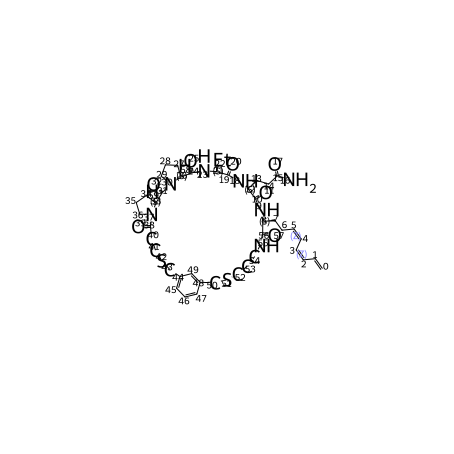 C=C/C=C\C=C/CC[C@@H]1NC(=O)[C@H](CCC(N)=O)NC(=O)[C@H](CC)NC(=O)[C@@H]2CCCN2C(=O)[C@@H]2CCCN2C(=O)CCSCc2cccc(c2)CSCCCNC1=O